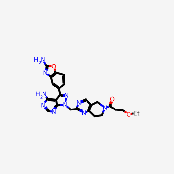 CCOCCC(=O)N1CCc2nc(Cn3nc(-c4ccc5oc(N)nc5c4)c4c(N)ncnc43)ncc2C1